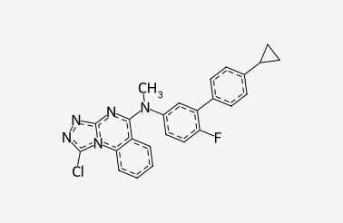 CN(c1ccc(F)c(-c2ccc(C3CC3)cc2)c1)c1nc2nnc(Cl)n2c2ccccc12